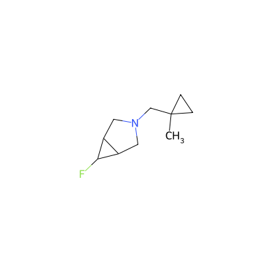 CC1(CN2CC3C(F)C3C2)CC1